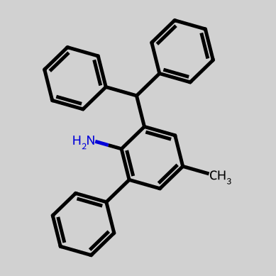 Cc1cc(-c2ccccc2)c(N)c(C(c2ccccc2)c2ccccc2)c1